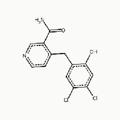 NC(=O)c1cnccc1Cc1cc(Cl)c(Cl)cc1O